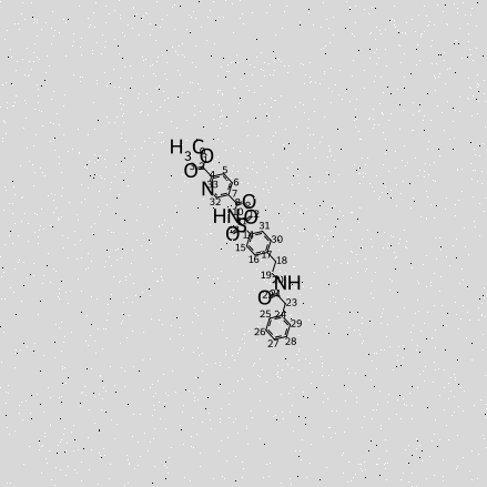 COC(=O)c1ccc(C(=O)NS(=O)(=O)c2ccc(CCNC(=O)Cc3ccccc3)cc2)cn1